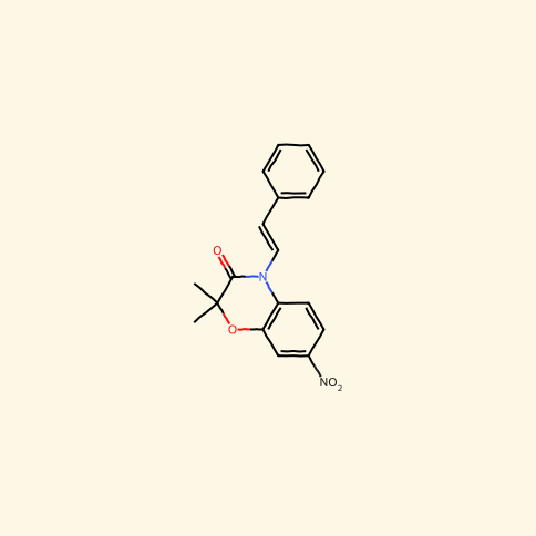 CC1(C)Oc2cc([N+](=O)[O-])ccc2N(/C=C/c2ccccc2)C1=O